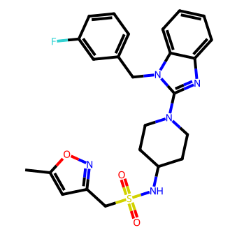 Cc1cc(CS(=O)(=O)NC2CCN(c3nc4ccccc4n3Cc3cccc(F)c3)CC2)no1